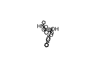 O=C(NC1CCCC1)OC1CC[C@H](C(=O)N2CCN(c3ccccc3)CC2)C(C(=O)NO)C1